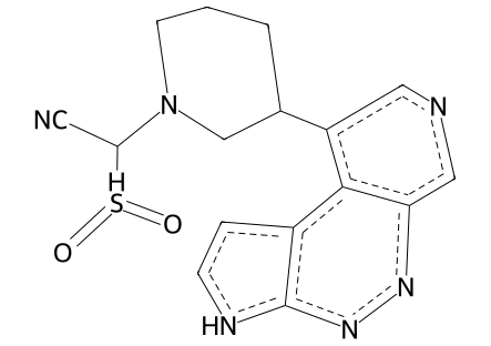 N#CC(N1CCCC(c2cncc3nnc4[nH]ccc4c23)C1)[SH](=O)=O